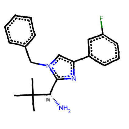 CC(C)(C)[C@@H](N)c1nc(-c2cccc(F)c2)cn1Cc1ccccc1